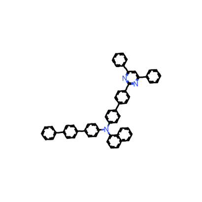 c1ccc(-c2ccc(-c3ccc(N(c4ccc(-c5ccc(-c6nc(-c7ccccc7)cc(-c7ccccc7)n6)cc5)cc4)c4cccc5ccccc45)cc3)cc2)cc1